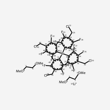 COCCOC.COCCOC.Fc1c(F)c([B-](c2c(F)c(F)c(CCl)c(F)c2F)(c2c(F)c(F)c(CCl)c(F)c2F)c2c(F)c(F)c(CCl)c(F)c2F)c(F)c(F)c1CCl.[Li+]